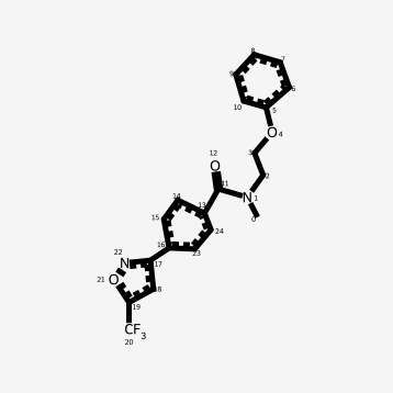 CN(CCOc1ccccc1)C(=O)c1ccc(-c2cc(C(F)(F)F)on2)cc1